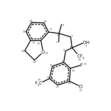 CC(C)(CC(O)(Cc1cc(C(F)(F)F)cc(Cl)c1F)C(F)(F)F)c1cccc2c1OCC2